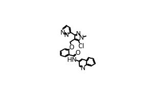 Cn1nc(-c2cccnn2)c(COc2ccccc2C(=O)Nc2cnc3ccccc3c2)c1Cl